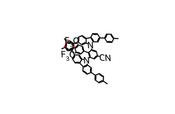 Cc1ccc(-c2ccc3c4ccc(-c5ccc(C)cc5)cc4n(-c4cc(C#N)cc(-n5c6cc(-c7ccc(C)cc7)ccc6c6ccc(-c7ccc(C)cc7)cc65)c4-c4cc(C(F)(F)F)cc(C(F)(F)F)c4)c3c2)cc1